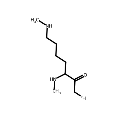 [2H]CC(=O)C(CCCCNC)NC